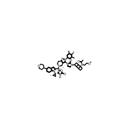 COCCN(C(C)=O)C12C3C4C1C1C2C3C41n1ccn(-c2c3c(nn2-c2cc(C)c(F)c(C)c2)CCN(C(=O)c2cc4cc(C5CCOCC5)ccc4n2[C@@]2(c4noc(=O)[nH]4)C[C@@H]2C)[C@H]3C)c1=O